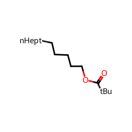 CCCCCCCCCCCCOC(=O)C(C)(C)C